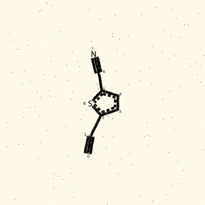 C#Cc1ccc(C#N)s1